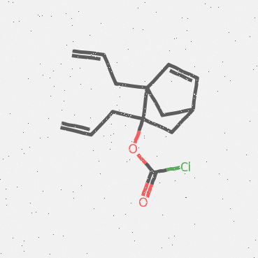 C=CCC12C=CC(C1)CC2(CC=C)OC(=O)Cl